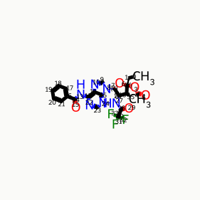 CC[C@]1(OC=O)O[C@@H](n2cnc3c(NC(=O)c4ccccc4)ncnc32)[C@@H](NC(=O)C(F)(F)F)C1C